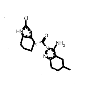 CC1CCc2nn(C(=O)[C@@H]3CCCc4[nH]c(Cl)cc43)c(N)c2C1